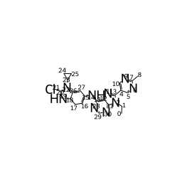 CCn1c(-c2cnc(C)nc2)nc2c(NC3=CCC4NC(Cl)N(C5CC5)C4=C3)ncnc21